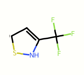 FC(F)(F)C1=C[C]SN1